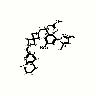 COC(=O)C[C@H](CN1CC2(CN(Cc3ccc4c(n3)NCCC4)C2)C1)c1cc(Br)cc(-n2nc(C)cc2C)c1